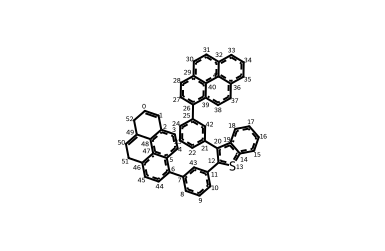 C1=Cc2ccc3c(-c4cccc(-c5sc6ccccc6c5-c5cccc(-c6ccc7ccc8cccc9ccc6c7c89)c5)c4)ccc4c3c2C(=CC4)C1